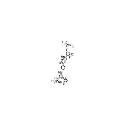 C[C@H](N)CCCc1cc(Cl)c(F)c(-c2cc3cn(-c4ccc(CN[C@H](CCNC(=N)N)CNc5ncc[nH]5)cc4)c(=O)nc3[nH]2)c1